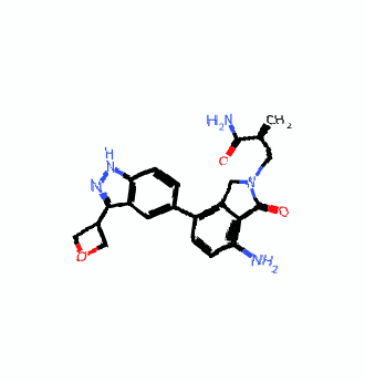 C=C(CN1Cc2c(-c3ccc4[nH]nc(C5COC5)c4c3)ccc(N)c2C1=O)C(N)=O